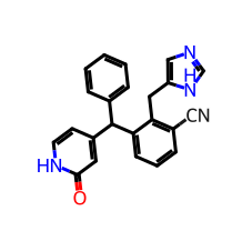 N#Cc1cccc(C(c2ccccc2)c2cc[nH]c(=O)c2)c1Cc1cnc[nH]1